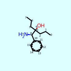 CCCC(O)(CCC)[C@H](N)c1ccccc1